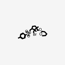 Cc1ccc(S(=O)(=O)OCC2CCC(C)(COC3CCCCO3)C2(C)CBr)cc1